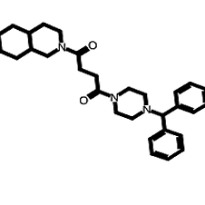 O=C(CCC(=O)N1CCC2CCCCC2C1)N1CCN(C(c2ccccc2)c2ccccc2)CC1